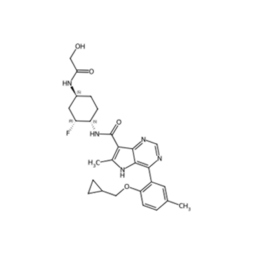 Cc1ccc(OCC2CC2)c(-c2ncnc3c(C(=O)N[C@H]4CC[C@H](NC(=O)CO)C[C@H]4F)c(C)[nH]c23)c1